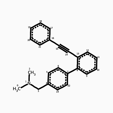 CN(C)Cc1ccc(-c2ccccc2C#Cc2ccccc2)cc1